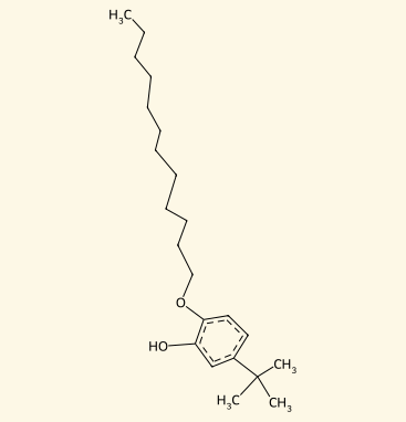 CCCCCCCCCCCCOc1ccc(C(C)(C)C)cc1O